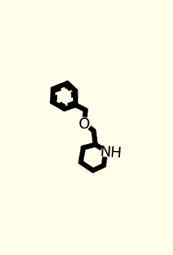 c1ccc(COCC2CCCCN2)cc1